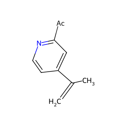 C=C(C)c1ccnc(C(C)=O)c1